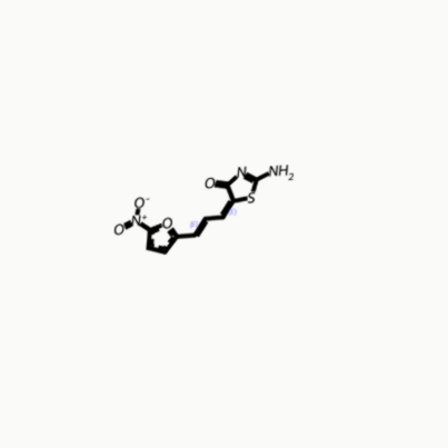 NC1=NC(=O)/C(=C\C=C\c2ccc([N+](=O)[O-])o2)S1